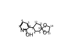 Oc1ncccc1C1CCC2(CC1)OCCO2